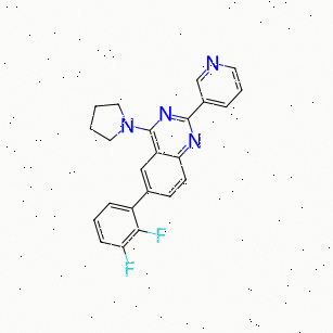 Fc1cccc(-c2ccc3nc(-c4cccnc4)nc(N4CCCC4)c3c2)c1F